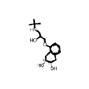 CC(C)(C)NCC(O)COc1cccc2c1C[C@@H](O)[C@@H](O)C2